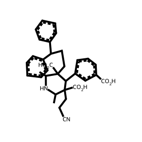 CC1NC(C)C(CCC(c2ccccc2)c2ccccc2)(C(=O)O)C(c2cccc(C(=O)O)c2)C1(CCC#N)C(=O)O